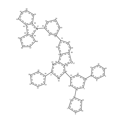 c1ccc(-c2cc(-c3ccccc3)cc(-c3nc(-c4ccccc4)nc4c3oc3ccc(-c5cccc(-n6c7ccccc7c7ccccc76)c5)cc34)c2)cc1